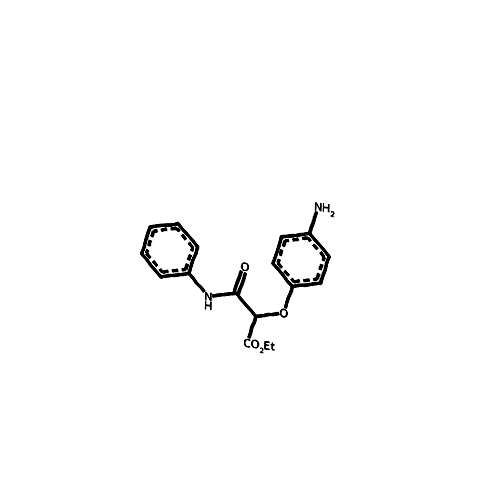 CCOC(=O)C(Oc1ccc(N)cc1)C(=O)Nc1ccccc1